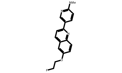 CNc1ccc(-c2ccc3cc(OCCF)ccc3n2)cn1